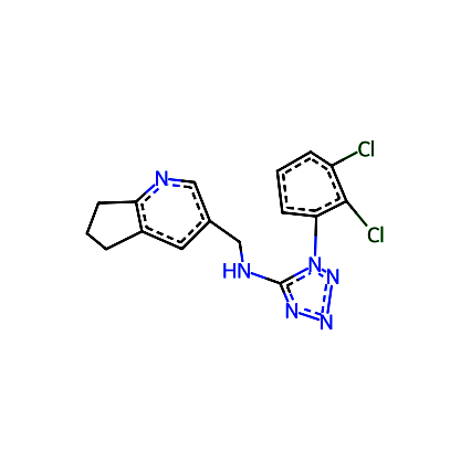 Clc1cccc(-n2nnnc2NCc2cnc3c(c2)CCC3)c1Cl